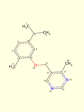 Cc1ccc(C(C)C)cc1OCc1[c]ncnc1C